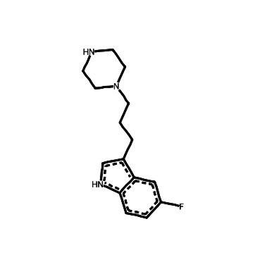 Fc1ccc2[nH]cc(CCCN3CCNCC3)c2c1